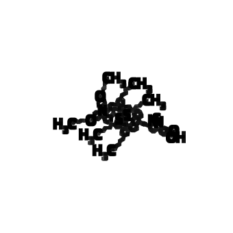 CCCCCCOC1=CC=C(N(c2ccc(OCCCCCC)cc2)c2c3ccccc3c3c4c(cccc24)C(c2ccc(CCCCCC)cc2)(c2ccc(CCCCCC)cc2)c2c-3sc3c4c(sc23)-c2c3ccccc3c(C#Cc3ccc(-c5ccc(C(=O)O)cc5)c5nsnc35)c3cccc(c23)C4(c2ccc(CCCCCC)cc2)c2ccc(CCCCCC)cc2)CC1